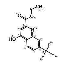 CCOC(=O)c1cc(O)c2ccc(C(F)(F)F)cc2n1